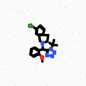 COc1ccccc1C(c1nnnn1C(C)(C)C)N1CCc2ccc(Cl)cc2C1